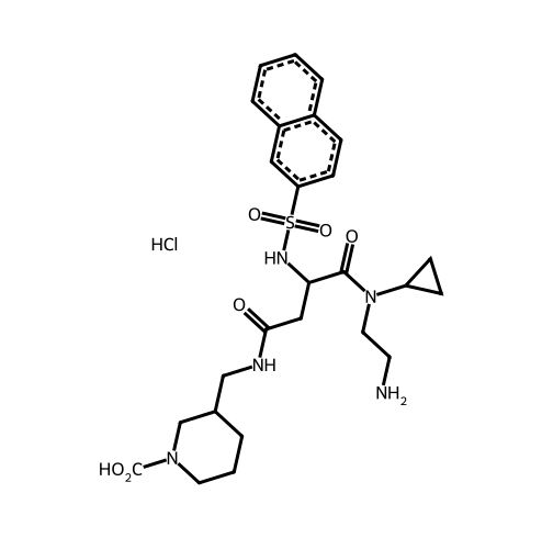 Cl.NCCN(C(=O)C(CC(=O)NCC1CCCN(C(=O)O)C1)NS(=O)(=O)c1ccc2ccccc2c1)C1CC1